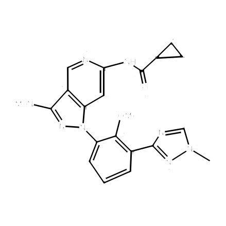 CNc1nn(-c2cccc(-c3ncn(C)n3)c2OC)c2cc(NC(=O)C3CC3)ncc12